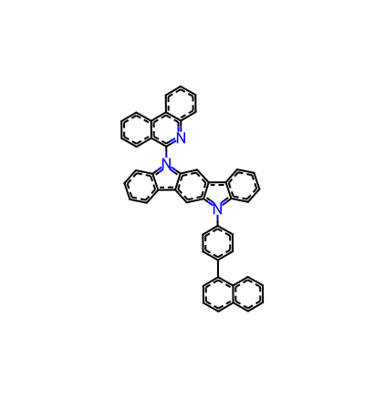 c1ccc2c(-c3ccc(-n4c5ccccc5c5cc6c(cc54)c4ccccc4n6-c4nc5ccccc5c5ccccc45)cc3)cccc2c1